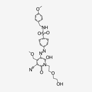 COCc1c(/N=N/c2ccc(S(=O)(=O)NCc3ccc(OC)cc3)cc2)c(O)n(CCOCCO)c(=O)c1C#N